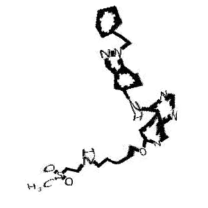 CS(=O)(=O)CCNCCCCOc1cc2c(Nc3ccc4c(cnn4Cc4ccccc4)c3)ncnc2cn1